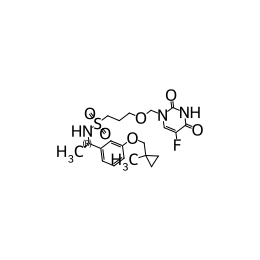 C[C@@H](NS(=O)(=O)CCCOCn1cc(F)c(=O)[nH]c1=O)c1cccc(OCC2(C)CC2)c1